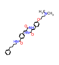 CN(C)CCCOc1ccc(C=c2[nH]c(=O)c(=Cc3ccc(C(=O)NCCCCc4ccccc4)cc3)[nH]c2=O)cc1